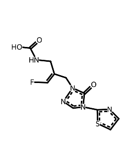 O=C(O)NCC(=CF)Cn1ncn(-c2nccs2)c1=O